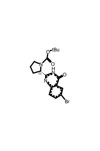 CC(C)(C)OC(=O)N1CCC[C@H]1c1nc2ccc(Br)cc2c(=O)[nH]1